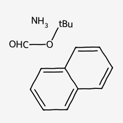 CC(C)(C)OC=O.N.c1ccc2ccccc2c1